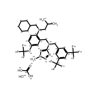 CC(C)CN(CC1CCCCC1)c1ccc(OC(F)(F)F)cc1CN(Cc1cc(C(F)(F)F)cc(C(F)(F)F)c1)c1nnn(C)n1.Cl.O=C(O)O